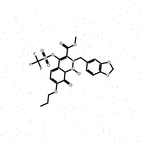 CCCOC1=CC=C2C(OS(=O)(=O)C(F)(F)F)=C(C(=O)OC)N(Cc3ccc4c(c3)OCO4)[S+]([O-])C2C1=O